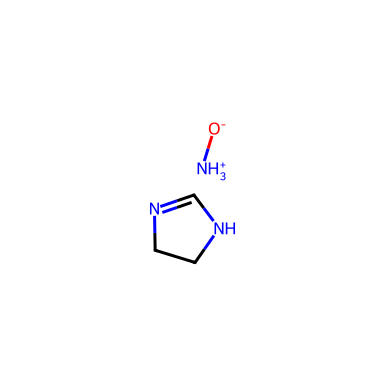 C1=NCCN1.[NH3+][O-]